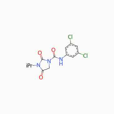 CC(C)N1C(=O)CN(C(=O)Nc2cc(Cl)cc(Cl)c2)C1=O